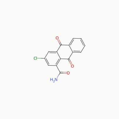 NC(=O)c1cc(Cl)cc2c1C(=O)c1ccccc1C2=O